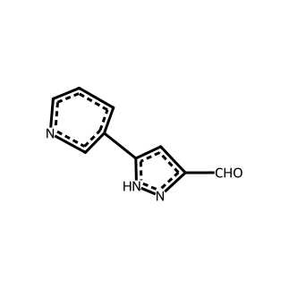 O=Cc1cc(-c2cccnc2)[nH]n1